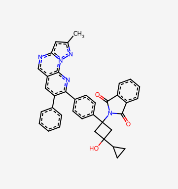 Cc1cc2ncc3cc(-c4ccccc4)c(-c4ccc(C5(N6C(=O)c7ccccc7C6=O)CC(O)(C6CC6)C5)cc4)nc3n2n1